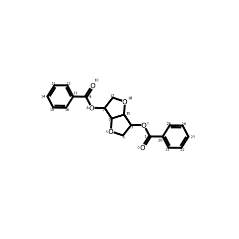 O=C(OC1COC2C(OC(=O)c3ccccc3)COC12)c1ccccc1